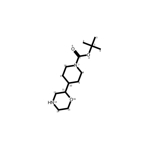 CC(C)(C)OC(=O)N1CCC(C2CNCCO2)CC1